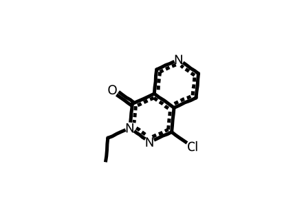 CCn1nc(Cl)c2ccncc2c1=O